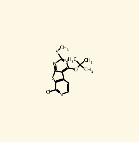 CSc1nc(OC(C)(C)C)c2c(n1)sc1c(Cl)nccc12